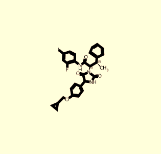 C[C@@H](c1ccccc1)[C@@H](C(=O)Nc1ccc(I)cc1F)N1C(=O)NC(c2ccc(OCC3CC3)cc2)C1=O